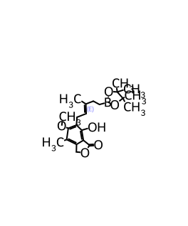 COc1c(C)c2c(c(O)c1C/C=C(\C)CCB1OC(C)(C)C(C)(C)O1)C(=O)OC2